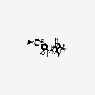 CCc1nc(Nc2ccc(P3(=O)CCN(C4CC4)CC3)cc2OC)nc2[nH]cc(C(F)(F)F)c12